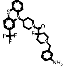 Nc1cccc(CN2CCC(F)(C(=O)N3CCC(N4c5ccccc5Sc5ccc(C(F)(F)F)cc54)CC3)CC2)c1